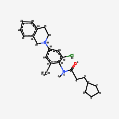 CN(C(=O)CCC1CCCC1)c1c(Cl)cc(N2CCc3ccccc3C2)cc1C(F)(F)F